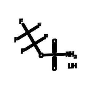 NS(=O)(=O)OC(F)(F)C(F)(F)F.[LiH]